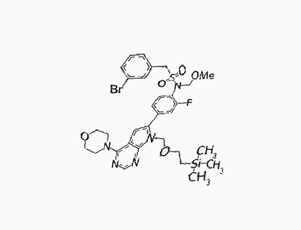 COCN(c1ccc(-c2cc3c(N4CCOCC4)ncnc3n2COCC[Si](C)(C)C)cc1F)S(=O)(=O)Cc1cccc(Br)c1